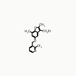 CCOC(=O)c1c(C)oc2c(C)cc(OCc3cccnc3C(F)(F)F)cc12